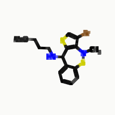 COCCCNC1c2ccccc2SN(C)c2c(Br)csc21